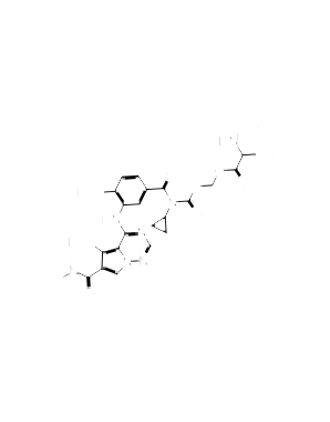 CCNC(=O)c1cn2ncnc(Nc3cc(C(=O)N(C(=O)OCOC(=O)C(C)NC=O)C4CC4)ccc3C)c2c1C